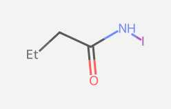 CCCC(=O)NI